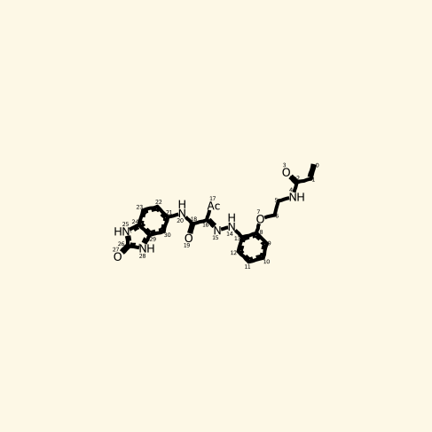 C=CC(=O)NCCOc1ccccc1N/N=C(\C(C)=O)C(=O)Nc1ccc2[nH]c(=O)[nH]c2c1